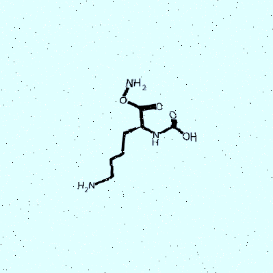 NCCCC[C@H](NC(=O)O)C(=O)ON